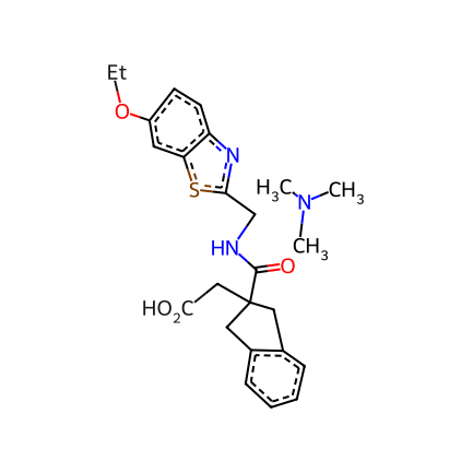 CCOc1ccc2nc(CNC(=O)C3(CC(=O)O)Cc4ccccc4C3)sc2c1.CN(C)C